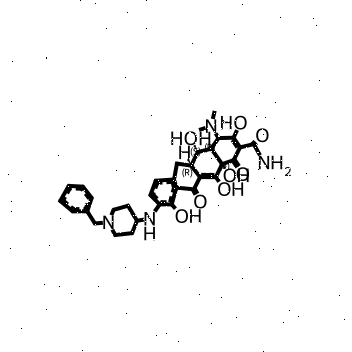 CN(C)C1C(O)=C(C(N)=O)C(=O)[C@@]2(O)C(O)=C3C(=O)c4c(ccc(NC5CCN(Cc6ccccc6)CC5)c4O)C[C@H]3[C@H](O)[C@@H]12